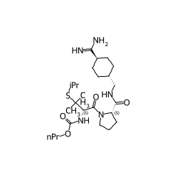 CCCOC(=O)N[C@@H](C(=O)N1CCC[C@H]1C(=O)NC[C@H]1CC[C@H](C(=N)N)CC1)C(C)(C)SC(C)C